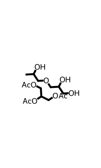 CC(=O)OCC(COC(C)=O)OC(C)=O.CC(O)COCC(O)CO